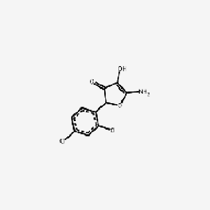 NC1=C(O)C(=O)C(c2ccc(Cl)cc2Cl)O1